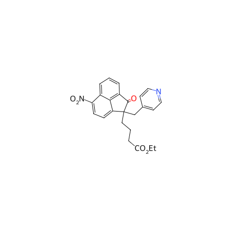 CCOC(=O)CCCC1(Cc2ccncc2)C(=O)c2cccc3c([N+](=O)[O-])ccc1c23